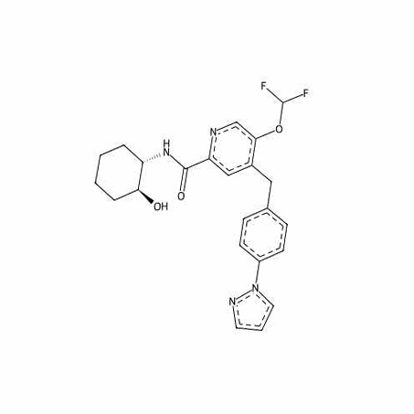 O=C(N[C@H]1CCCC[C@@H]1O)c1cc(Cc2ccc(-n3cccn3)cc2)c(OC(F)F)cn1